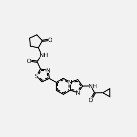 O=C(NC1CCCC1=O)c1nc(-c2ccc3nc(NC(=O)C4CC4)cn3c2)cs1